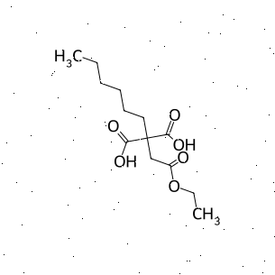 CCCCCCC(CC(=O)OCC)(C(=O)O)C(=O)O